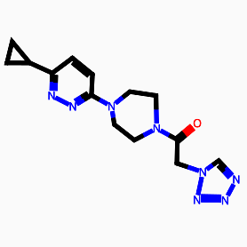 O=C(Cn1cnnn1)N1CCN(c2ccc(C3CC3)nn2)CC1